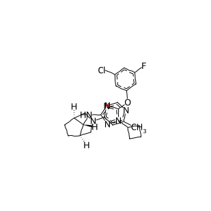 Cc1cc(N2C[C@H]3CC[C@@H](C2)[C@@H]3Nc2nc(Oc3cc(F)cc(Cl)c3)n(C3CCC3)n2)ncn1